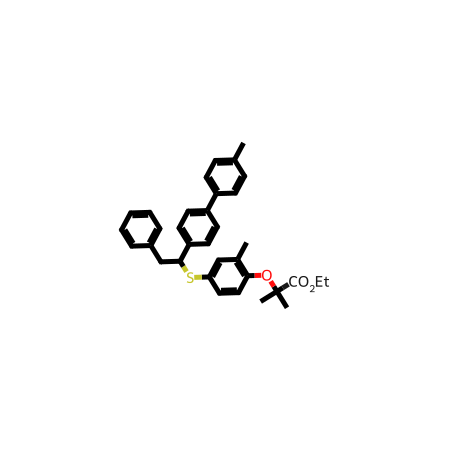 CCOC(=O)C(C)(C)Oc1ccc(SC(Cc2ccccc2)c2ccc(-c3ccc(C)cc3)cc2)cc1C